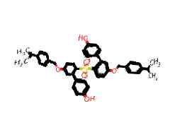 CC(C)c1ccc(COc2ccc(S(=O)(=O)c3ccc(OCc4ccc(C(C)C)cc4)cc3-c3ccc(O)cc3)c(-c3ccc(O)cc3)c2)cc1